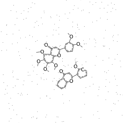 COc1ccc(-c2cc(=O)c3c(OC)c(OC)c(OC)c(OC)c3o2)cc1OC.COc1ccccc1-c1cc(=O)c2ccccc2o1